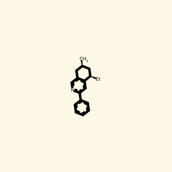 CC[C@@H]1C[C@H](C)Cc2cnc(-c3ccccc3)cc21